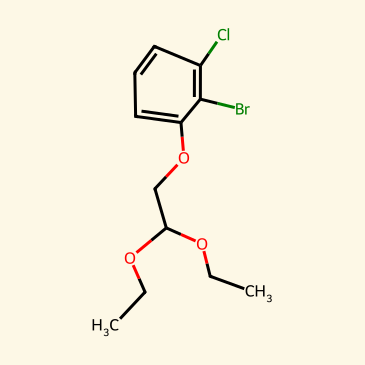 CCOC(COc1cccc(Cl)c1Br)OCC